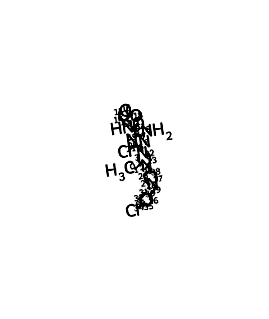 CC[C@H]1CN(c2nc(N)c(C(=O)NC3CCOC3=O)nc2Cl)CCN1C1CCN(Cc2ccc(Cl)cc2)CC1